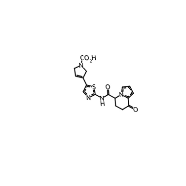 O=C1CCC(C(=O)Nc2ncc(C3=CCN(C(=O)O)C3)s2)n2cccc21